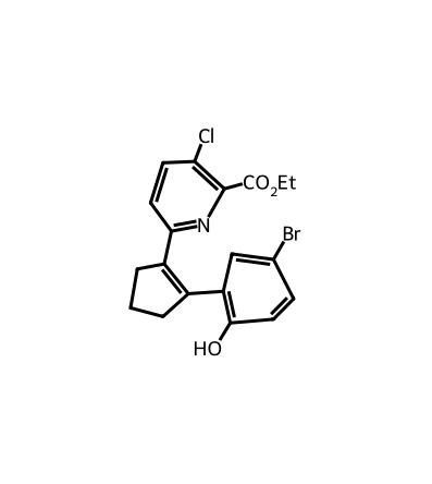 CCOC(=O)c1nc(C2=C(c3cc(Br)ccc3O)CCC2)ccc1Cl